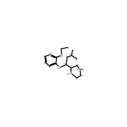 CCOc1ncccc1OC(CC(C)C)C1CNCCO1